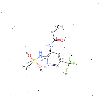 C=CC(=O)Nc1cc(C(F)(F)F)cnc1NS(C)(=O)=O